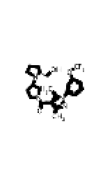 Cc1nn(-c2cccc(OC(F)(F)F)c2)c(C)c1C(=O)N1CCC(N2CCC[C@@H]2CO)C1